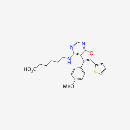 COc1ccc(-c2c(-c3cccs3)oc3ncnc(NCCCCCC(=O)O)c23)cc1